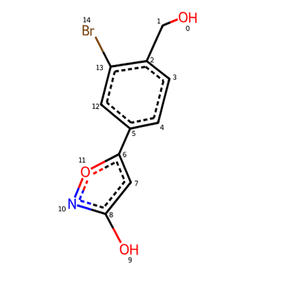 OCc1ccc(-c2cc(O)no2)cc1Br